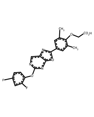 Cc1cc(-c2nc3cnc(Oc4ccc(F)cc4F)nc3o2)cc(C)c1OCC(=O)O